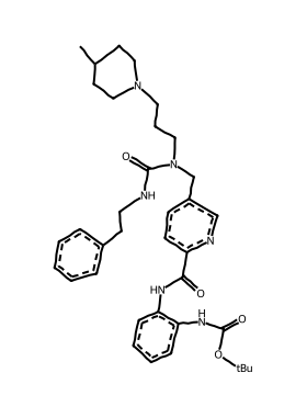 CC1CCN(CCCN(Cc2ccc(C(=O)Nc3ccccc3NC(=O)OC(C)(C)C)nc2)C(=O)NCCc2ccccc2)CC1